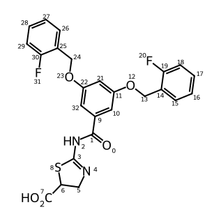 O=C(NC1=NCC(C(=O)O)S1)c1cc(OCc2ccccc2F)cc(OCc2ccccc2F)c1